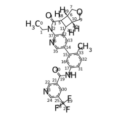 CCN1C(=O)[C@H]2[C@@H]3COC[C@@H]3[C@H]2c2cc(-c3cc(NC(=O)c4cncc(C(F)(F)F)c4)ccc3C)cnc21